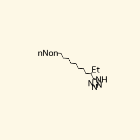 CCCCCCCCCCCCCCCCCC(CC)c1nnn[nH]1